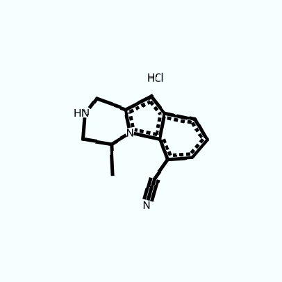 CC1CNCc2cc3cccc(C#N)c3n21.Cl